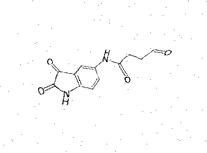 O=CCCC(=O)Nc1ccc2c(c1)C(=O)C(=O)N2